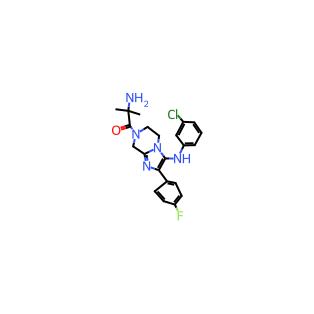 CC(C)(N)C(=O)N1CCn2c(nc(-c3ccc(F)cc3)c2Nc2cccc(Cl)c2)C1